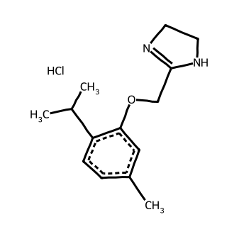 Cc1ccc(C(C)C)c(OCC2=NCCN2)c1.Cl